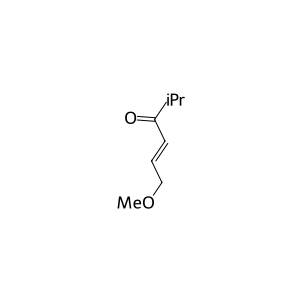 COC/C=C/C(=O)C(C)C